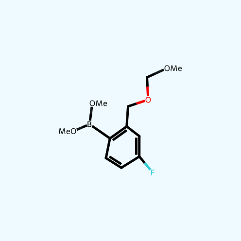 COCOCc1cc(F)ccc1B(OC)OC